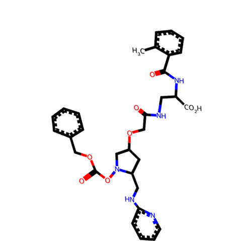 Cc1ccccc1C(=O)NC(CNC(=O)COC1CC(CNc2ccccn2)N(OC(=O)OCc2ccccc2)C1)C(=O)O